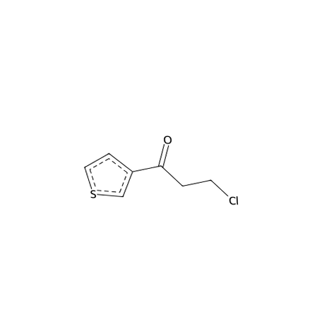 O=C(CCCl)c1ccsc1